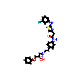 O=C(Cc1csc(Nc2cccc(F)c2)n1)Nc1ccc(CCNCC(O)COc2ccccc2)cc1